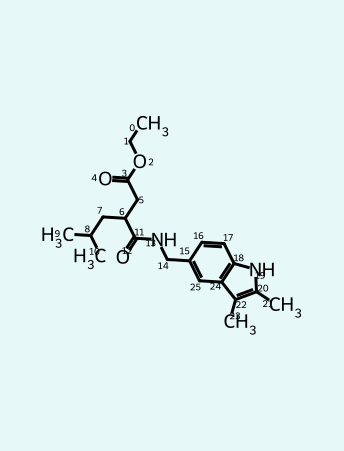 CCOC(=O)CC(CC(C)C)C(=O)NCc1ccc2[nH]c(C)c(C)c2c1